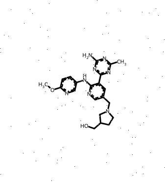 COc1ccc(Nc2ncc(CN3CCC(CO)C3)cc2-c2nc(C)nc(N)n2)cn1